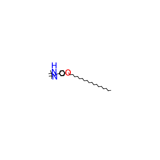 CCCCCCCCCCCCCCCCCCOc1ccc(C2=NC(C)(C)C(C)(C)N2)cc1